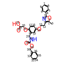 Cc1oc(-c2ccccc2)nc1CCOc1ccc(OCC(=O)O)c(CNC(=O)OCc2ccccc2)c1